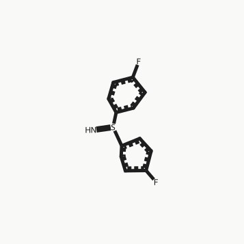 N=S(c1ccc(F)cc1)c1ccc(F)cc1